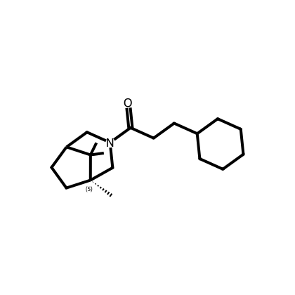 CC1(C)C2CC[C@]1(C)CN(C(=O)CCC1CCCCC1)C2